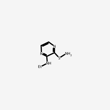 CCNc1nccnc1SN